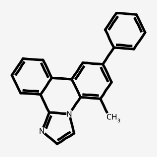 Cc1cc(-c2ccccc2)cc2c3ccccc3c3nccn3c12